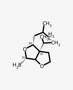 B[C@@H]1O[C@H](CC(C)C)[C@@]2(C(C)C)CCOC12